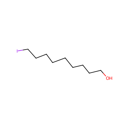 OCCCCCCCCCI